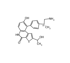 CC(O)c1cc2c(s1)c(=O)[nH]c1ccc(O)c(-c3ccc([C@@H](C)CN)cc3)c12